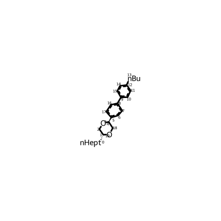 CCCCCCC[C@@H]1CO[C@@H](c2ccc(-c3ccc(CCCC)cc3)cc2)CO1